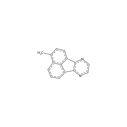 Cc1ccc2c3c(cccc13)-c1nccnc1-2